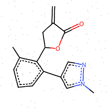 C=C1CC(c2c(C)cccc2-c2cnn(C)c2)OC1=O